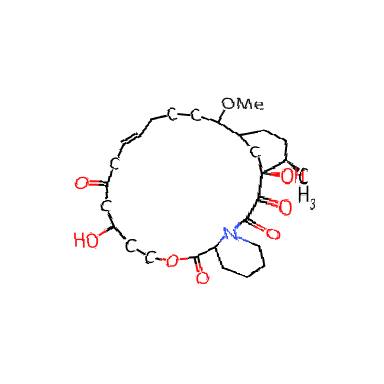 COC1CCC/C=C/CC(=O)CC(O)CCOC(=O)C2CCCCN2C(=O)C(=O)[C@]2(O)CC1CC[C@H]2C